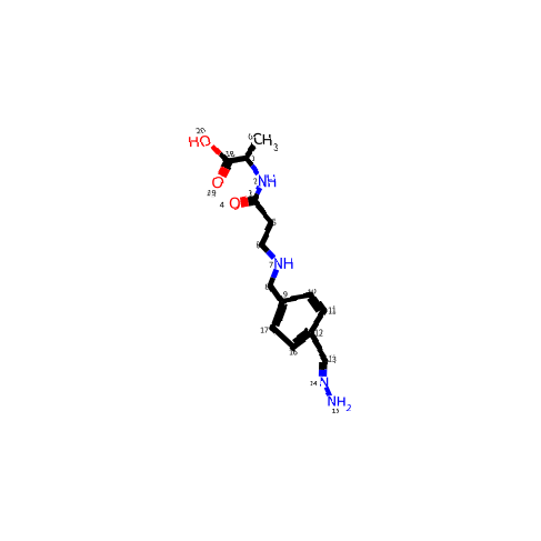 CC(NC(=O)CCNCc1ccc(C=NN)cc1)C(=O)O